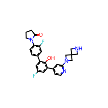 O=C1CCCN1c1ccc(-c2cc(F)cc(-c3ccnc(N4CC5(CNC5)C4)c3)c2O)cc1F